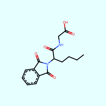 CCCCC(C(=O)NCC(=O)O)N1C(=O)c2ccccc2C1=O